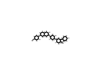 Ic1ccc(-c2ccc3ccc(-c4ccc(-c5ccc6sc7ccccc7c6c5)cc4)cc3c2)cc1